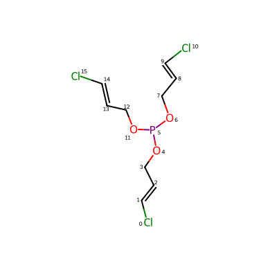 Cl/C=C/COP(OC/C=C/Cl)OC/C=C/Cl